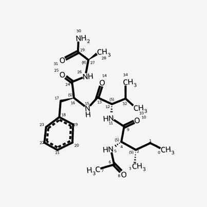 CC[C@H](C)[C@H](NC(C)=O)C(=O)N[C@H](C(=O)N[C@@H](Cc1ccccc1)C(=O)N[C@H](C)C(N)=O)C(C)C